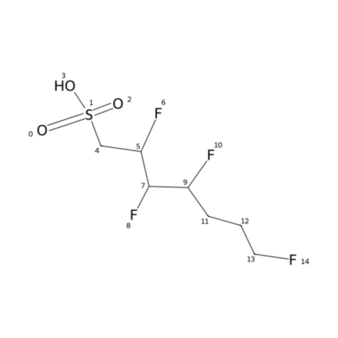 O=S(=O)(O)CC(F)C(F)C(F)CCCF